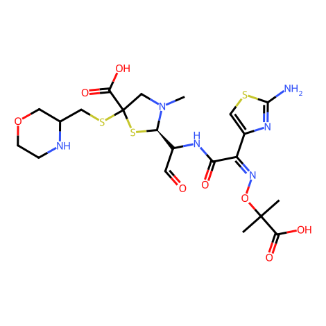 CN1CC(SCC2COCCN2)(C(=O)O)S[C@@H]1C(C=O)NC(=O)/C(=N\OC(C)(C)C(=O)O)c1csc(N)n1